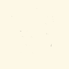 Cc1cccc(C)c1-c1cc(OC[C@@H]2N[C@H](c3cnc4oc(C(C)(C)C)cc4n3)CCC[C@H]2C2CCC2)nc(NS(=O)(=O)c2cccc(C(=O)O)c2)n1